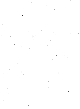 CCOC(=N)c1ccc(C(F)(F)F)cc1OCC.Cl